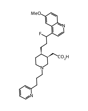 COc1ccc2nccc(C(F)CC[C@@H]3CCN(CCCc4ccccn4)C[C@@H]3CC(=O)O)c2c1